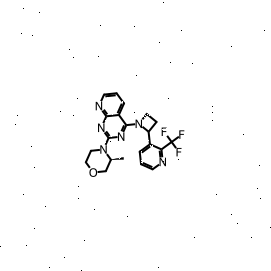 C[C@H]1COCCN1c1nc(N2CCC2c2cccnc2C(F)(F)F)c2cccnc2n1